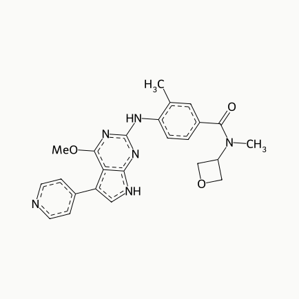 COc1nc(Nc2ccc(C(=O)N(C)C3COC3)cc2C)nc2[nH]cc(-c3ccncc3)c12